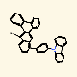 CC(C)c1c2cccc(-c3ccc(-n4c5ccccc5c5ccccc54)cc3)c2cc2c3ccccc3c3ccccc3c12